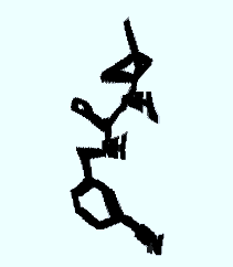 CC12CC(NC(=O)NCc3cccc(C#N)c3)(C1)C2